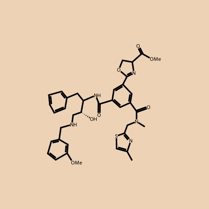 COC(=O)C1COC(c2cc(C(=O)NC(Cc3ccccc3)[C@H](O)CNCc3cccc(OC)c3)cc(C(=O)N(C)Cc3nc(C)cs3)c2)=N1